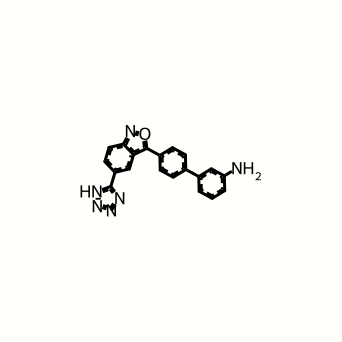 Nc1cccc(-c2ccc(-c3onc4ccc(-c5nnn[nH]5)cc34)cc2)c1